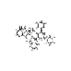 CC1(C)c2ccc#cc2-c2cc3c4ccccc4n(-c4cc(-c5ccccc5)nc(-c5ccccc5)c4)c3cc21